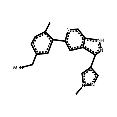 CNCc1ccc(C)c(-c2cc3c(-c4cnn(C)c4)n[nH]c3cn2)c1